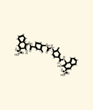 Cc1cc(C(=O)Nc2c(O)c(S(=O)(=O)O)cc3ccccc23)ccc1NC(=O)Nc1ccc(C(=O)Nc2c(O)c(S(=O)(=O)O)cc3ccccc23)cc1C